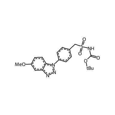 COc1ccc2c(c1)nnn2-c1ccc(CS(=O)(=O)NC(=O)OC(C)(C)C)cc1